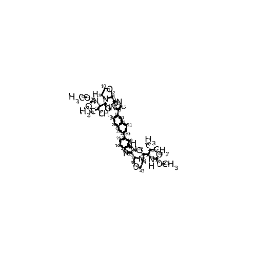 COC(=O)N[C@H](C(=O)N1CCOC[C@H]1c1ncc(-c2ccc3cc(-c4ccc5nc([C@@H]6COCCN6C(=O)[C@@H](NC(=O)OC)C(C)C)[nH]c5c4)ccc3c2)[nH]1)C(C)C